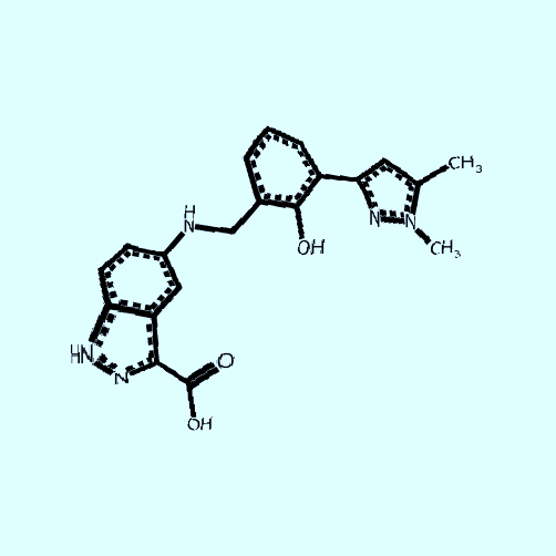 Cc1cc(-c2cccc(CNc3ccc4[nH]nc(C(=O)O)c4c3)c2O)nn1C